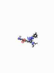 CCCN(CCC)c1cc(CCCOC(=O)CCN(C)C)nc(N/N=C/c2cccc(C)c2)c1